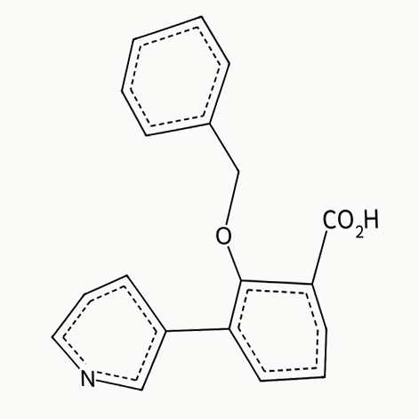 O=C(O)c1cccc(-c2cccnc2)c1OCc1ccccc1